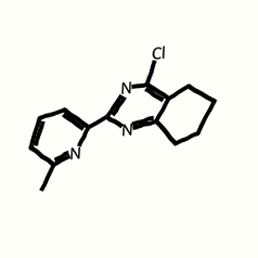 Cc1cccc(-c2nc(Cl)c3c(n2)CCCC3)n1